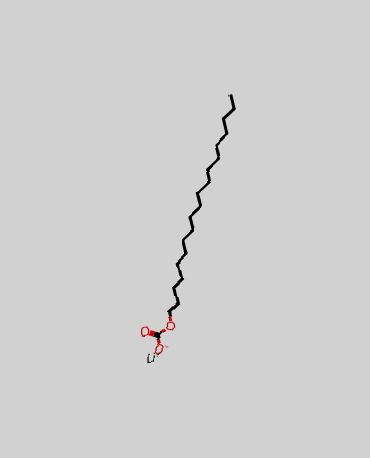 CCCCCCCCCCCCCCCCCCCOC(=O)[O-].[Li+]